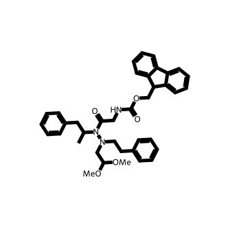 COC(CN(CCc1ccccc1)N(C(=O)CNC(=O)OCC1c2ccccc2-c2ccccc21)C(C)Cc1ccccc1)OC